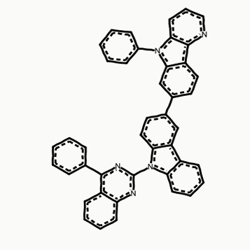 c1ccc(-c2nc(-n3c4ccccc4c4cc(-c5ccc6c7ncccc7n(-c7ccccc7)c6c5)ccc43)nc3ccccc23)cc1